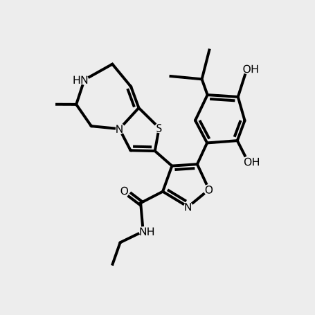 CCNC(=O)c1noc(-c2cc(C(C)C)c(O)cc2O)c1C1=CN2CC(C)NCC=C2S1